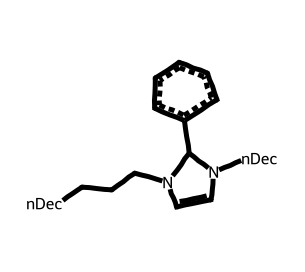 CCCCCCCCCCCCCN1C=CN(CCCCCCCCCC)C1c1ccccc1